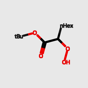 CCCCCCC(OO)C(=O)OC(C)(C)C